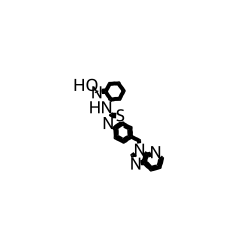 O/N=C1\CCCCC1Nc1nc2ccc(Cn3cnc4cccnc43)cc2s1